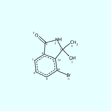 CC1(O)NC(=O)c2cccc(Br)c21